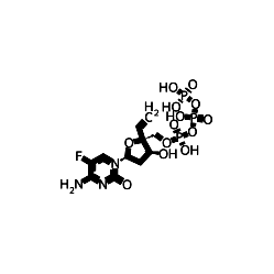 C=C[C@]1(COP(=O)(O)OP(=O)(O)OP(=O)(O)O)O[C@@H](n2cc(F)c(N)nc2=O)C[C@@H]1O